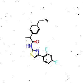 CC(C)Cc1ccc(C(C)C(=O)Nc2nc(-c3ccc(F)cc3F)cs2)cc1